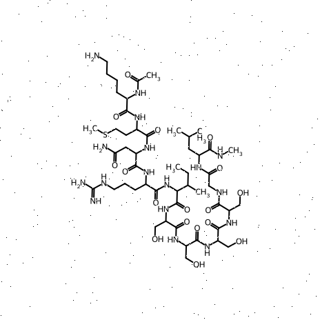 CCC(C)C(NC(=O)C(CCCNC(=N)N)NC(=O)C(CC(N)=O)NC(=O)C(CCSC)NC(=O)C(CCCCN)NC(C)=O)C(=O)NC(CO)C(=O)NC(CO)C(=O)NC(CO)C(=O)NC(CO)C(=O)NCC(=O)NC(CC(C)C)C(=O)NC